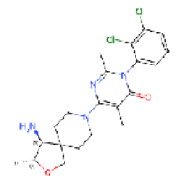 Cc1c(N2CCC3(CC2)CO[C@H](C)[C@H]3N)nc(C)n(-c2cccc(Cl)c2Cl)c1=O